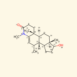 CC1C=C2N(C)C(=O)CC[C@]2(C)[C@H]2CC[C@]3(C)C(O)CC[C@H]3[C@H]12